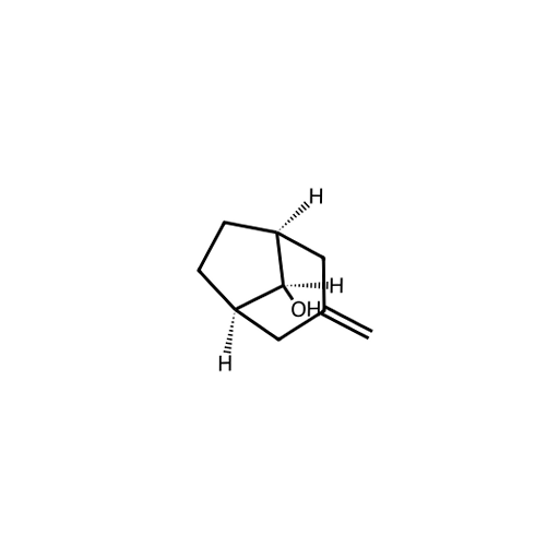 C=C1C[C@H]2CC[C@@H](C1)[C@H]2O